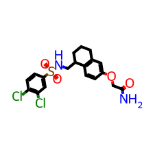 NC(=O)COc1ccc2c(c1)CCCC2CNS(=O)(=O)c1ccc(Cl)c(Cl)c1